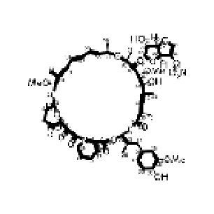 CO[C@H]1C[C@@H]2CC[C@@H](C)[C@@](O)(O2)C(=O)C(=O)N2CCCC[C@H]2C(=O)O[C@H]([C@H](C)C[C@@H]2CC[C@@H](O)[C@H](OC)C2)CC(=O)[C@H](C)/C=C(\C)[C@@H](O)[C@@H](OC)C(=O)[C@H](C)C[C@H](C)/C=C/C=C/C=C/1C.O=[N+]([O-])O[C@@H]1CO[C@H]2[C@@H]1OC[C@@H]2O